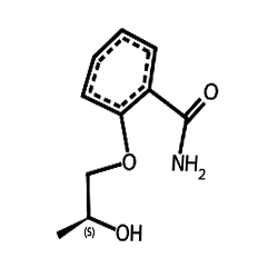 C[C@H](O)COc1ccccc1C(N)=O